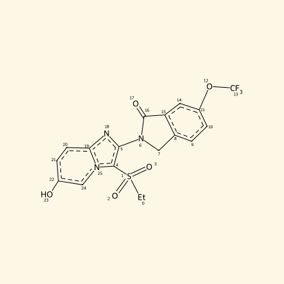 CCS(=O)(=O)c1c(N2Cc3ccc(OC(F)(F)F)cc3C2=O)nc2ccc(O)cn12